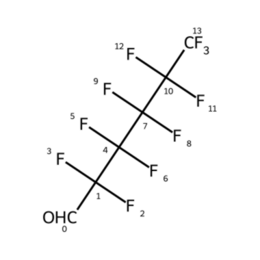 O=CC(F)(F)C(F)(F)C(F)(F)C(F)(F)C(F)(F)F